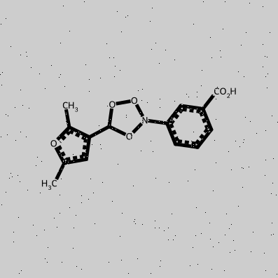 Cc1cc(C2OON(c3cccc(C(=O)O)c3)O2)c(C)o1